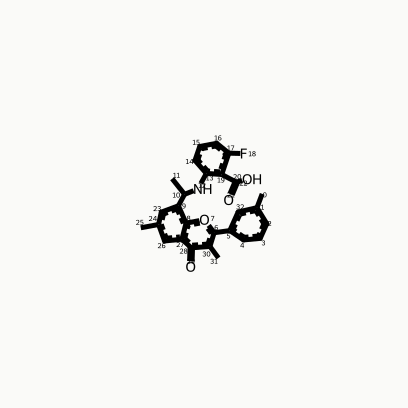 Cc1cccc(-c2oc3c(C(C)Nc4cccc(F)c4C(=O)O)cc(C)cc3c(=O)c2C)c1